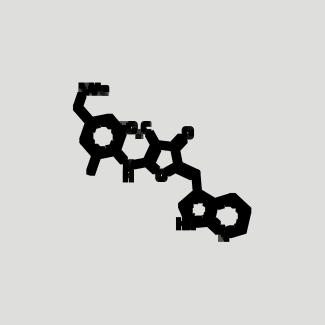 CNCc1ccc(NC2=C(C(=O)O)C(=O)/C(=C/c3c[nH]c4ncccc34)O2)c(C)c1